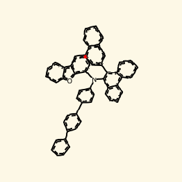 c1ccc(-c2ccc(-c3ccc(N(c4c(-c5ccc6ccccc6c5)c5ccccc5c5ccccc45)c4cccc5c4oc4ccccc45)cc3)cc2)cc1